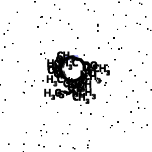 COc1cc2cc(c1Cl)N(C)C(=O)C[C@H](OC(O)[C@@H](C)N(C)C(=O)CCSC)[C@@]1(C)OC1[C@@H](C)[C@H]1C[C@](O)(NC(=O)O1)[C@@H](OC)/C=C\C=C(/C)C2